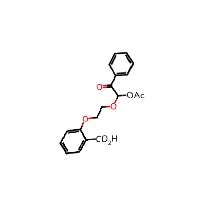 CC(=O)OC(OCCOc1ccccc1C(=O)O)C(=O)c1ccccc1